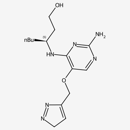 CCCC[C@@H](CCO)Nc1nc(N)ncc1OCC1=CCN=N1